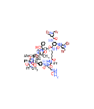 CC[C@H](C)C([C@@H](CC(=O)N1CCC[C@H]1[C@H](OC)[C@@H](C)C(=O)N[C@H](C)[C@@H](O)c1ccccc1)OC)N(C)C(=O)[C@@H](NC(=O)C(C(C)C)N(C)C(=O)OCc1ccc(NC(=O)C(CCCNC(N)=O)NC(=O)[C@@H](NC(=O)CCCCCNC(=O)c2cc(NC(=O)c3cc(CBr)nc(CBr)c3)cc(NC(=O)c3cc(CBr)nc(CBr)c3)c2)C(C)C)cc1)C(C)C